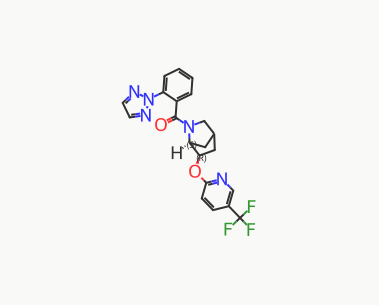 O=C(c1ccccc1-n1nccn1)N1CC2C[C@@H](Oc3ccc(C(F)(F)F)cn3)[C@@H]1C2